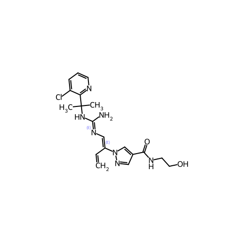 C=C/C(=C\N=C(/N)NC(C)(C)c1ncccc1Cl)n1cc(C(=O)NCCO)cn1